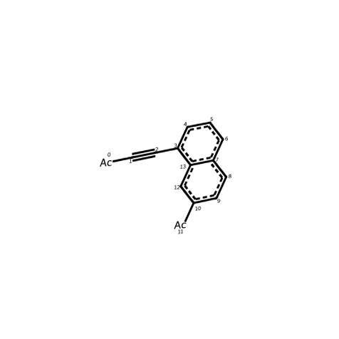 CC(=O)C#Cc1cccc2ccc(C(C)=O)cc12